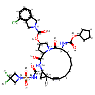 O=C(N[C@H]1CCCCC/C=C\[C@@H]2C[C@@]2(C(=O)NS(=O)(=O)N2CC(F)(F)C2)NC(=O)C2C[C@@H](OC(=O)N3Cc4cccc(Cl)c4C3)CN2C1=O)OC1CCCC1